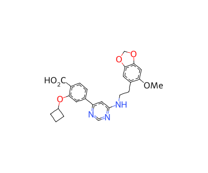 COc1cc2c(cc1CCNc1cc(-c3ccc(C(=O)O)c(OC4CCC4)c3)ncn1)OCO2